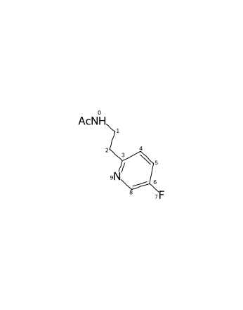 CC(=O)NCCc1ccc(F)cn1